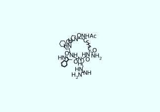 CC(=O)N[C@H]1CSSC[C@@H](C(N)=O)NC(=O)C(CCCNC(=N)N)NC(=O)[C@H](Cc2c[nH]c3ccccc23)NC(=O)[C@@H](CC2CCCCC2)NC(=O)[C@@H]2CCCN2C1=O